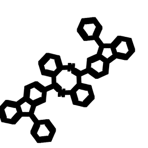 c1ccc(C2c3ccccc3-c3ccc(/C4=N/c5ccccc5/C(c5ccc6c(c5)C(c5ccccc5)c5ccccc5-6)=N\c5ccccc54)cc32)cc1